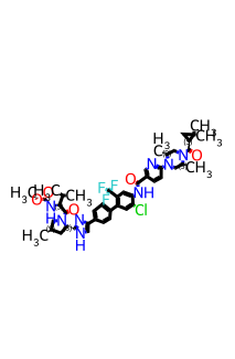 COC(=O)N[C@H](C(=O)N1C[C@@H](C)C[C@H]1c1nc(-c2ccc(-c3cc(Cl)c(NC(=O)c4ccc(N5C[C@H](C)N(C(=O)[C@H]6CC6(C)C)C[C@H]5C)nc4)cc3C(F)(F)F)cc2)c[nH]1)C(C)C